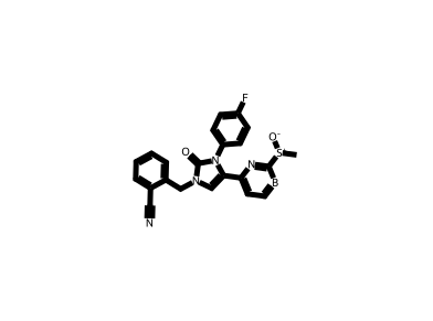 C[S+]([O-])c1bccc(-c2cn(Cc3ccccc3C#N)c(=O)n2-c2ccc(F)cc2)n1